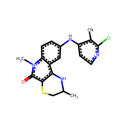 CC1CSc2c(c3cc(Nc4ccnc(Cl)c4C#N)ccc3n(C)c2=O)N1